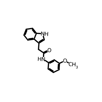 COc1cccc(NC(=O)Cc2c[nH]c3ccccc23)c1